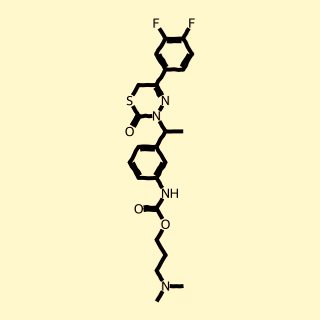 CC(c1cccc(NC(=O)OCCCN(C)C)c1)N1N=C(c2ccc(F)c(F)c2)CSC1=O